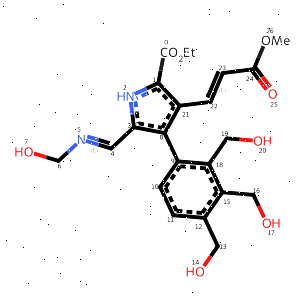 CCOC(=O)c1[nH]c(/C=N/CO)c(-c2ccc(CO)c(CO)c2CO)c1/C=C/C(=O)OC